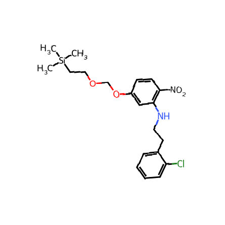 C[Si](C)(C)CCOCOc1ccc([N+](=O)[O-])c(NCCc2ccccc2Cl)c1